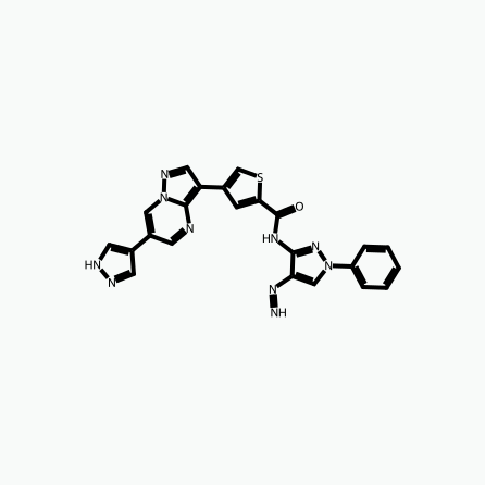 N=Nc1cn(-c2ccccc2)nc1NC(=O)c1cc(-c2cnn3cc(-c4cn[nH]c4)cnc23)cs1